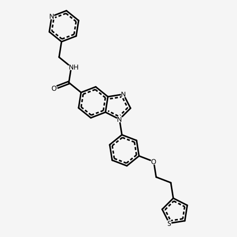 O=C(NCc1cccnc1)c1ccc2c(c1)ncn2-c1cccc(OCCc2ccsc2)c1